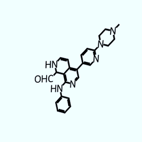 CN1CCN(c2ccc(-c3cnc(Nc4ccccc4)c4c3C=CNC4C=O)cn2)CC1